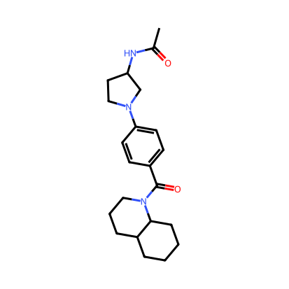 CC(=O)NC1CCN(c2ccc(C(=O)N3CCCC4CCCCC43)cc2)C1